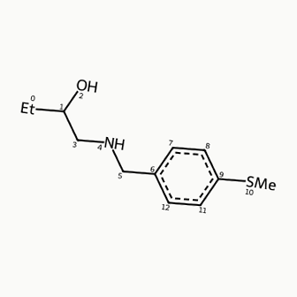 CCC(O)CNCc1ccc(SC)cc1